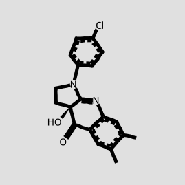 Cc1cc2c(cc1C)C(=O)[C@]1(O)CCN(c3ccc(Cl)cc3)C1=N2